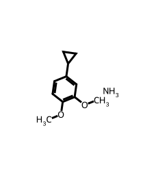 COc1ccc(C2CC2)cc1OC.N